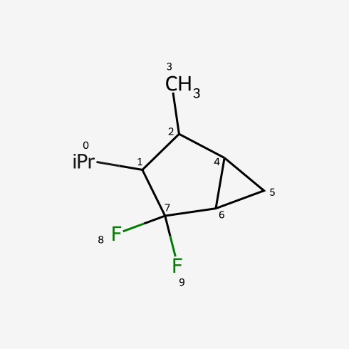 CC(C)C1C(C)C2CC2C1(F)F